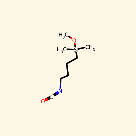 CO[Si](C)(C)CCCCN=C=O